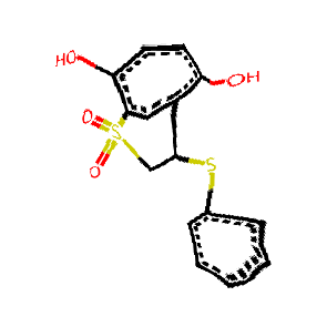 O=S1(=O)CC(Sc2ccccc2)c2c(O)ccc(O)c21